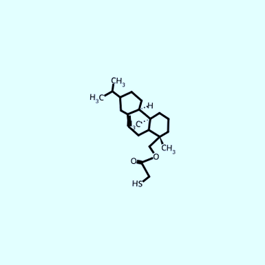 CC(C)C1CC[C@@H]2C(=CCC3[C@@](C)(COC(=O)CS)CCC[C@@]32C)C1